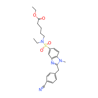 CCOC(=O)CCCCN(CC)S(=O)(=O)c1ccc2c(c1)nc(Cc1ccc(C#N)cc1)n2C